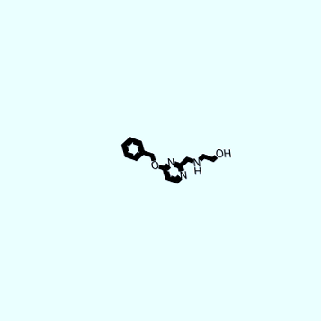 OCCNCc1nccc(OCc2ccccc2)n1